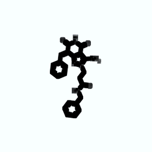 Nc1c2c(nn1CCC(=O)NCc1ccccc1)/C(=C\c1ccccc1)C(=O)NC2=O